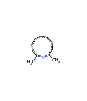 Cc1cccccccc(C)n1